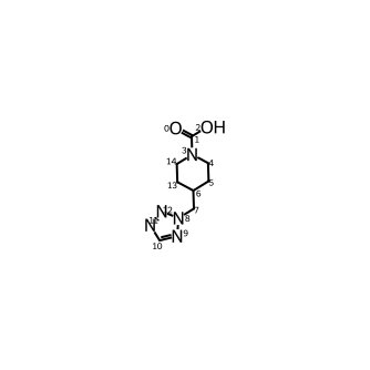 O=C(O)N1CCC(Cn2ncnn2)CC1